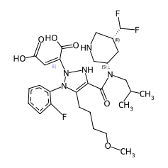 COCCCCC1=C(C(=O)N(CC(C)C)[C@@H]2CNC[C@H](C(F)F)C2)NN(/C(=C/C(=O)O)C(=O)O)N1c1ccccc1F